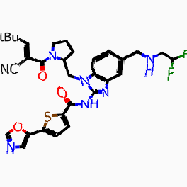 CC(C)(C)C=C(C#N)C(=O)N1CCCC1Cn1c(NC(=O)c2ccc(-c3cnco3)s2)nc2cc(CNCC(F)F)ccc21